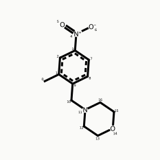 Cc1cc([N+](=O)[O-])ccc1CN1CCOCC1